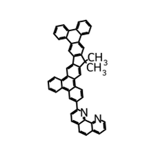 CC1(C)c2cc3c4ccccc4c4ccccc4c3cc2-c2cc3c4ccccc4c4cc(-c5ccc6ccc7cccnc7c6n5)ccc4c3cc21